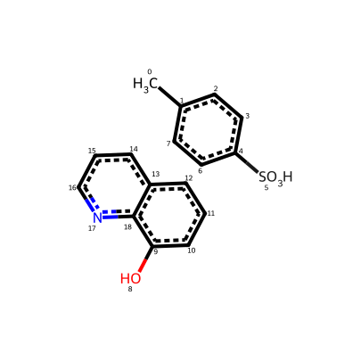 Cc1ccc(S(=O)(=O)O)cc1.Oc1cccc2cccnc12